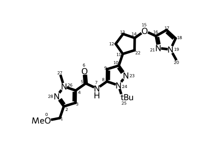 COCc1cc(C(=O)Nc2cc(C3CCC(Oc4ccn(C)n4)C3)nn2C(C)(C)C)n(C)n1